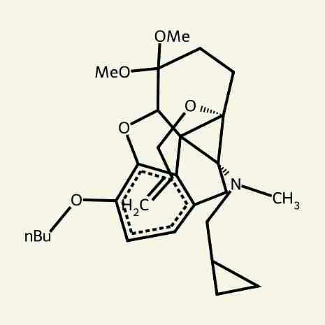 C=CCO[C@@]12CCC(OC)(OC)C3Oc4c(OCCCC)ccc5c4C31[C@]2(N(C)CC1CC1)C5